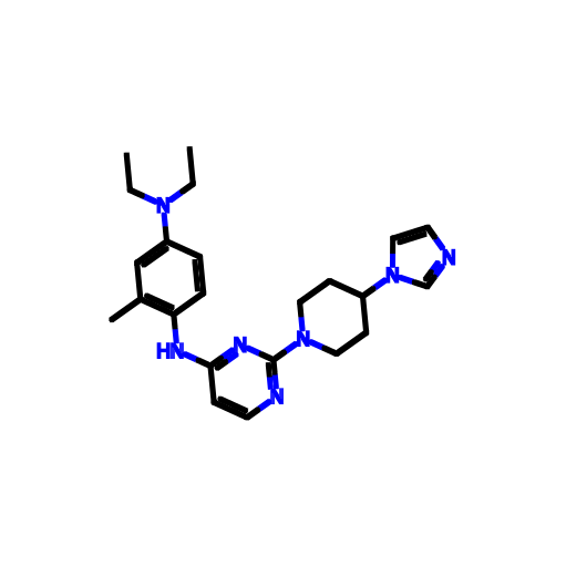 CCN(CC)c1ccc(Nc2ccnc(N3CCC(n4ccnc4)CC3)n2)c(C)c1